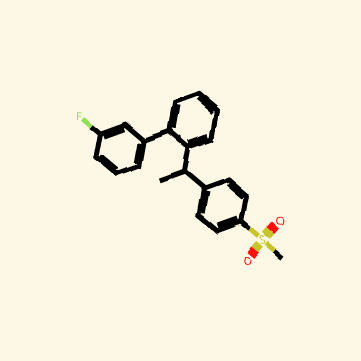 CC(c1ccc(S(C)(=O)=O)cc1)c1ccccc1-c1cccc(F)c1